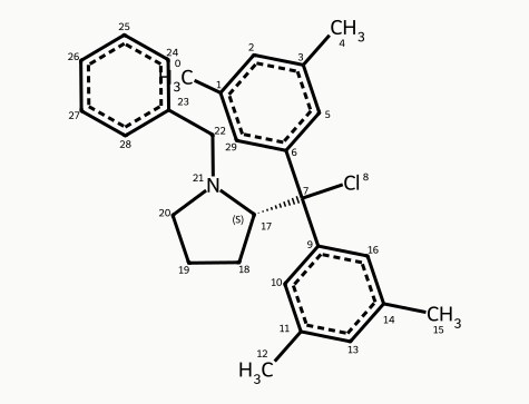 Cc1cc(C)cc(C(Cl)(c2cc(C)cc(C)c2)[C@@H]2CCCN2Cc2ccccc2)c1